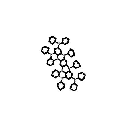 C1=CC(N(c2ccccc2)c2cc3c4c(c2)N(c2ccccc2)c2cc5c(cc2B4c2ccccc2N3c2ccccc2)B2c3ccccc3N(c3ccccc3)c3cc(N(c4ccccc4)c4ccccc4)cc(c32)N5c2ccccc2)=CCC1